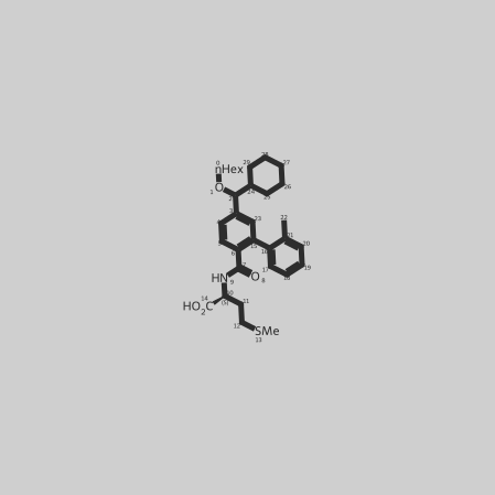 CCCCCCOC(c1ccc(C(=O)N[C@@H](CCSC)C(=O)O)c(-c2ccccc2C)c1)C1CCCCC1